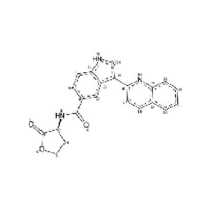 O=C(N[C@H]1CCOC1=O)c1ccc2[nH]nc(-c3ccc4ccccc4n3)c2c1